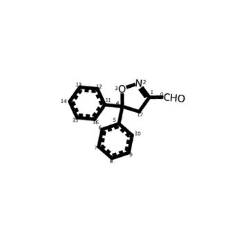 O=CC1=NOC(c2ccccc2)(c2ccccc2)C1